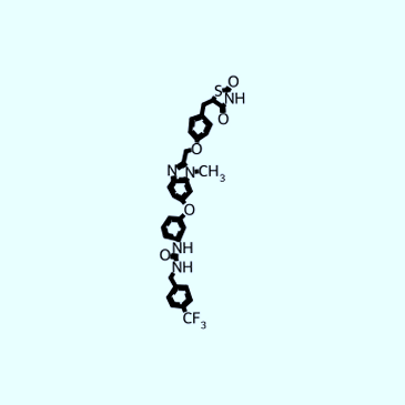 Cn1c(COc2ccc(CC3SC(=O)NC3=O)cc2)nc2ccc(Oc3cccc(NC(=O)NCc4ccc(C(F)(F)F)cc4)c3)cc21